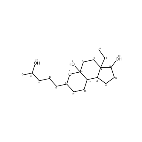 CCC12CCC3(O)OC(CCCC(C)O)CCC3C1CCC2O